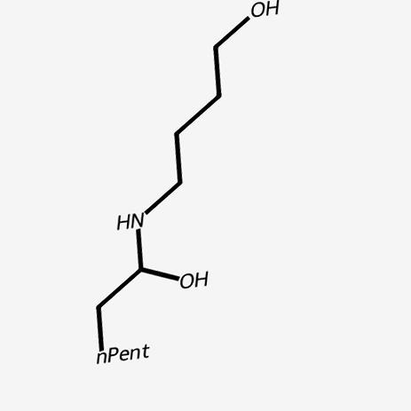 CCCCCCC(O)NCCCCO